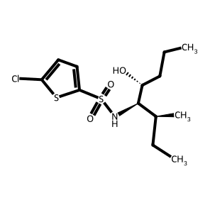 CCC[C@@H](O)[C@H](NS(=O)(=O)c1ccc(Cl)s1)[C@@H](C)CC